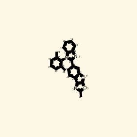 Cc1nc2c(o1)sc1cc(-c3nc4ccccc4n3-c3c(C)cccc3C)ccc12